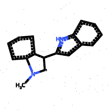 CN1[C]C(c2cc3ccccc3[nH]2)c2ccccc21